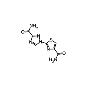 NC(=O)c1csc(-n2cnc(C(N)=O)n2)n1